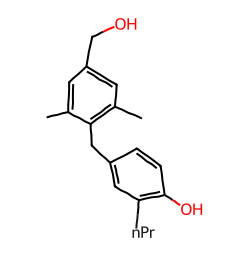 CCCc1cc(Cc2c(C)cc(CO)cc2C)ccc1O